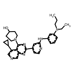 CCCN(CC)c1cccc(Nc2cc(-c3nc(N4CCC(O)CC4)c4c(C5CC5)cncc4n3)ccn2)c1